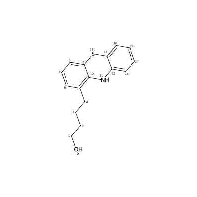 OCCCCc1cccc2c1Nc1ccccc1S2